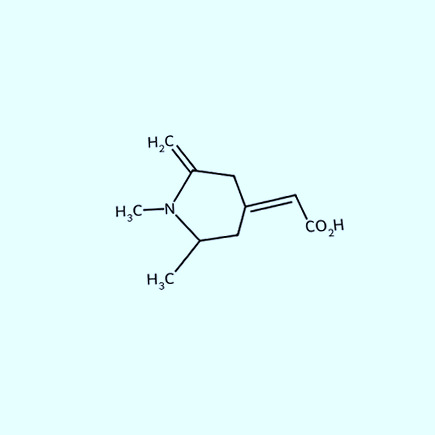 C=C1C/C(=C/C(=O)O)CC(C)N1C